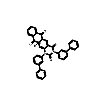 O=C1c2ccccc2C(=O)[C@H]2C=c3c(c(=O)n(-c4cccc(-c5ccccc5)c4)c(=O)n3-c3cccc(-c4ccccc4)c3)=CC12